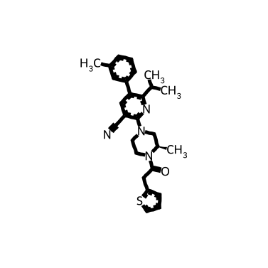 Cc1cccc(-c2cc(C#N)c(N3CCN(C(=O)Cc4cccs4)[C@H](C)C3)nc2C(C)C)c1